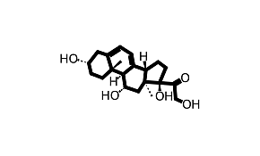 C[C@]12C[C@H](O)[C@@H]3C(=CC=C4C[C@@H](O)CC[C@]43C)[C@@H]1CC[C@]2(O)C(=O)CO